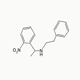 CC(NCCc1ccccc1)c1ccccc1[N+](=O)[O-]